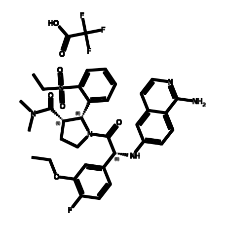 CCOc1cc([C@@H](Nc2ccc3c(N)nccc3c2)C(=O)N2CC[C@H](C(=O)N(C)C)[C@@H]2c2ccccc2S(=O)(=O)CC)ccc1F.O=C(O)C(F)(F)F